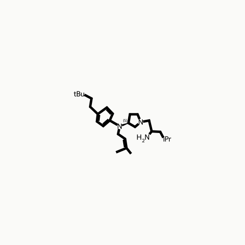 CC(C)=CCN(c1ccc(CCC(C)(C)C)cc1)[C@H]1CCN(CC(N)CC(C)C)C1